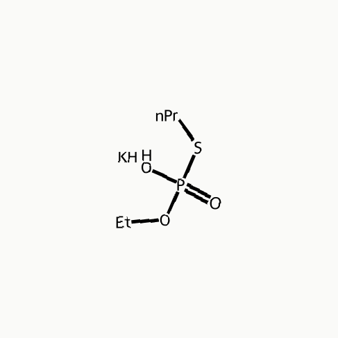 CCCSP(=O)(O)OCC.[KH]